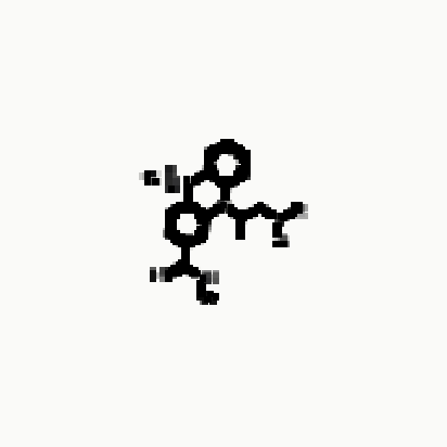 CCCNC(=N)c1ccc2c(c1)N(C(C)CN(CC)CC)c1ccccc1S2.Cl.Cl